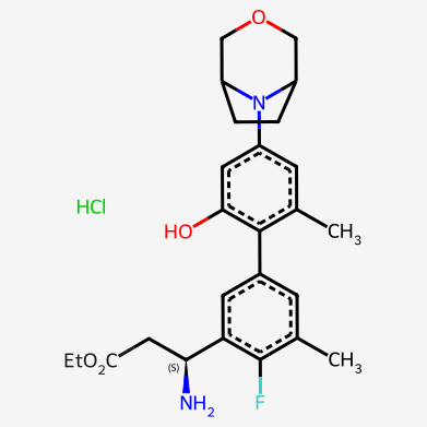 CCOC(=O)C[C@H](N)c1cc(-c2c(C)cc(N3C4CCC3COC4)cc2O)cc(C)c1F.Cl